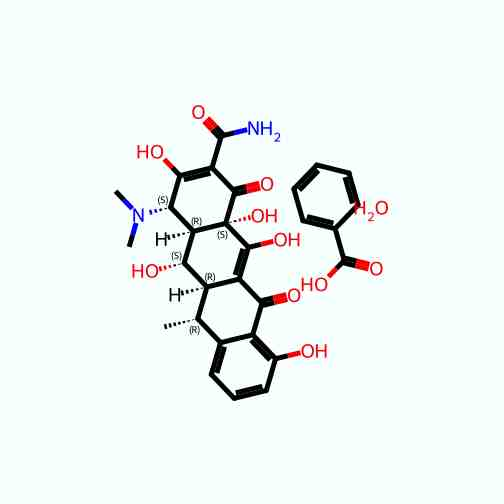 C[C@H]1c2cccc(O)c2C(=O)C2=C(O)[C@]3(O)C(=O)C(C(N)=O)=C(O)[C@@H](N(C)C)[C@@H]3[C@@H](O)[C@@H]21.O.O=C(O)c1ccccc1